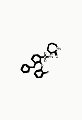 O=C1NCCCC[C@H]1NS(=O)(=O)c1cccc(Cc2ccccc2)c1Oc1ccccc1F